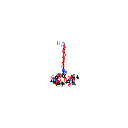 COc1cc2c(cc1OCc1cc(COc3cc4c(cc3OC)C(=O)N3C=C(C)C[C@H]3[C@H](O[Si](C)(C)C(C)(C)C)N4C(=O)OC(C)(C)C)cc(-c3cn(CCOCCOCCOCCOCCOCCOCCN)nn3)c1)N(C(=O)OC(C)(C)C)[C@@H](O[Si](C)(C)C(C)(C)C)[C@@H]1CC(C)=CN1C2=O